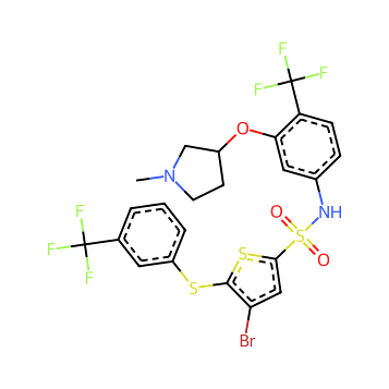 CN1CCC(Oc2cc(NS(=O)(=O)c3cc(Br)c(Sc4cccc(C(F)(F)F)c4)s3)ccc2C(F)(F)F)C1